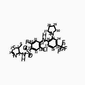 CC1SC=NC1NS(=O)(=O)c1cc(Cl)c(Nc2ccc(C(F)(F)F)cc2N2CCCC2)cc1F